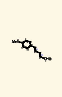 CSc1ccc(/C=C/C=C/C=O)cc1